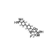 C[C@@](O)(C(F)F)[C@H](NC(=O)c1ccc(-c2ccc(C(=N)N)cc2)cc1)C(=O)NO